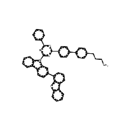 CCCCc1ccc(-c2ccc(-c3nc(-c4ccccc4)nc(-n4c5ccccc5c5ccc(-c6cccc7c6sc6ccccc67)cc54)n3)cc2)cc1